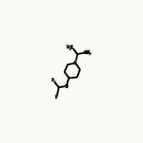 CC(C)N1CC[C](OC(F)F)CC1